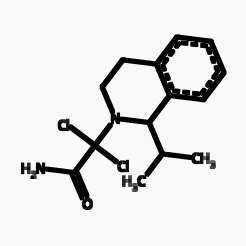 CC(C)C1c2ccccc2CCN1C(Cl)(Cl)C(N)=O